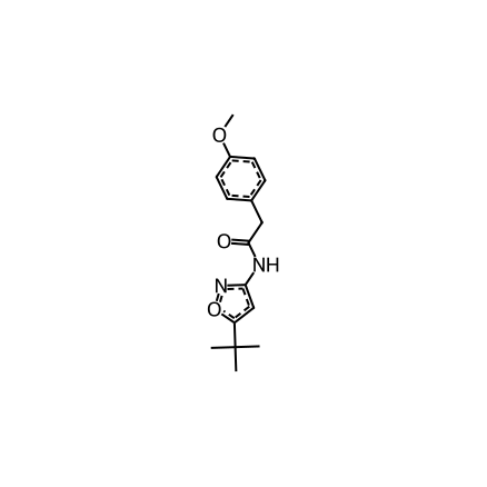 COc1ccc(CC(=O)Nc2cc(C(C)(C)C)on2)cc1